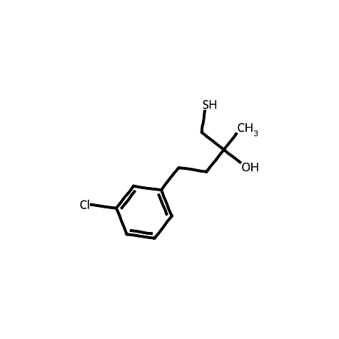 CC(O)(CS)CCc1cccc(Cl)c1